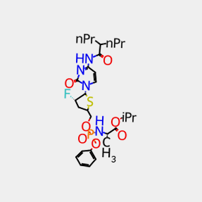 CCCC(CCC)C(=O)Nc1ccn([C@@H]2SC(COP(=O)(N[C@@H](C)C(=O)OC(C)C)Oc3ccccc3)C[C@@H]2F)c(=O)n1